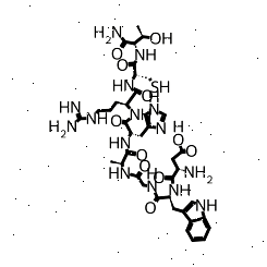 C[C@H](NC(=O)CNC(=O)[C@H](Cc1c[nH]c2ccccc12)NC(=O)[C@@H](N)CC(=O)O)C(=O)N[C@@H](Cc1c[nH]cn1)C(=O)N[C@@H](CCCNC(=N)N)C(=O)N[C@@H](CS)C(=O)N[C@H](C(N)=O)[C@@H](C)O